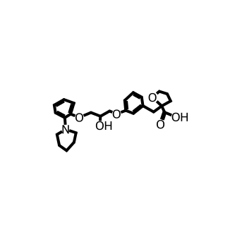 O=C(O)C1(Cc2cccc(OCC(O)COc3ccccc3N3CCCCC3)c2)CCCO1